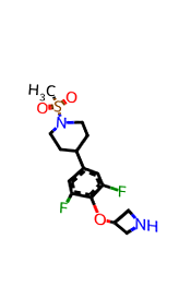 CS(=O)(=O)N1CCC(c2cc(F)c(OC3CNC3)c(F)c2)CC1